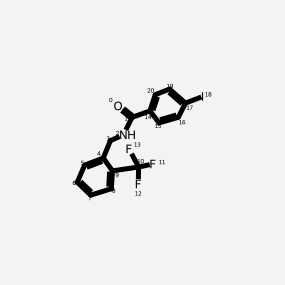 O=C(NCc1ccccc1C(F)(F)F)c1ccc(I)cc1